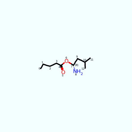 CCCCC(=O)O[C@@H](N)CC(C)C